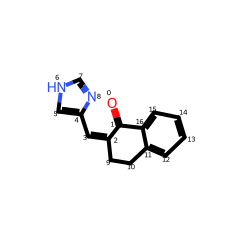 O=C1C(=Cc2c[nH]cn2)CCc2ccccc21